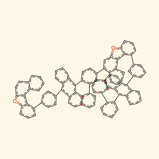 c1ccc(-c2ccccc2-c2c3ccccc3c(-c3cccc(-c4cccc5oc6cc(-c7ccc(-c8c9ccccc9c(-c9ccc(-c%10cccc%11oc%12ccc%13ccccc%13c%12c%10%11)cc9)c9ccccc89)c(-c8ccccc8)c7)c7ccccc7c6c45)c3)c3ccccc23)cc1